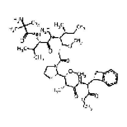 CC[C@H](C)[C@@H]([C@@H](CC(=O)N1CCC[C@H]1[C@H](OC)[C@@H](C)C(=O)N[C@H](C(=O)OC)[C@@H]1Cc2ccccc21)OC)N(C)C(=O)[C@@H](NC(=O)C(C)(C)N)C(C)C